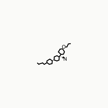 CCCCC1CCC([C@H]2CC[C@](C#N)(C3CCC(OCCC)CC3)CC2)CC1